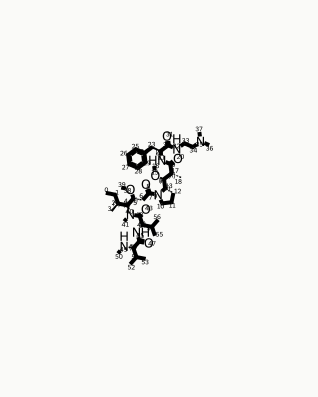 CC[C@H](C)[C@@H]([C@@H](CC(=O)N1CCC[C@H]1[C@H](OC)[C@@H](C)C(=O)N[C@@H](Cc1ccccc1)C(=O)NCCN(C)C)OC)N(C)C(=O)[C@@H](NC(=O)[C@@H](NC)C(C)C)C(C)C